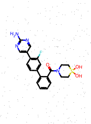 Nc1ncc(-c2ccc(-c3ccccc3C(=O)N3CCS(O)(O)CC3)cc2F)cn1